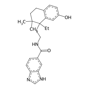 CCC1(CCNC(=O)c2ccc3nc[nH]c3c2)c2cc(O)ccc2CCC1(C)C